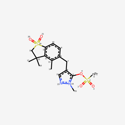 CCCS(=O)(=O)Oc1c(Cc2ccc3c(c2C)C(C)(C)CS3(=O)=O)cnn1C